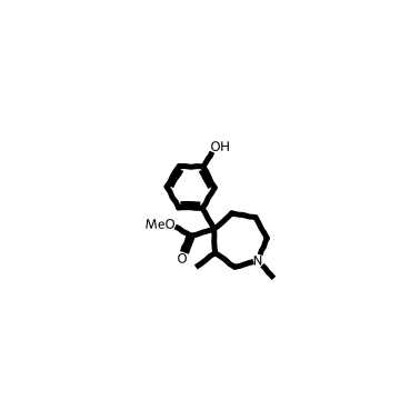 COC(=O)C1(c2cccc(O)c2)CCCN(C)CC1C